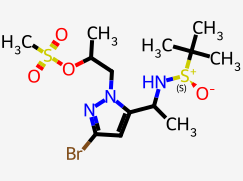 CC(Cn1nc(Br)cc1C(C)N[S@+]([O-])C(C)(C)C)OS(C)(=O)=O